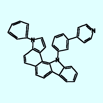 c1ccc(-n2ccc3c4c(ccc5c6ccccc6n(-c6cccc(-c7ccncc7)c6)c54)ccc32)cc1